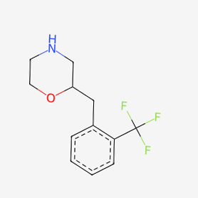 FC(F)(F)c1ccccc1CC1CNCCO1